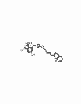 Cc1cc(C(C(=O)O)N2CC(OCCCCCc3ccc4c(n3)NCCC4)C2)c2c(C(C)(C)C)nn(C)c2c1